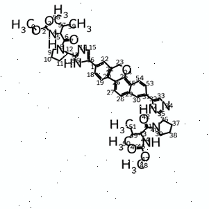 COC(=O)N[C@H](C(=O)N1CCCC1c1ncc(-c2ccc3c(c2)COc2c-3ccc3cc(-c4cnc([C@@H]5CCCN5C(=O)[C@@H](NC(=O)OC)C(C)C)[nH]4)ccc23)[nH]1)C(C)C